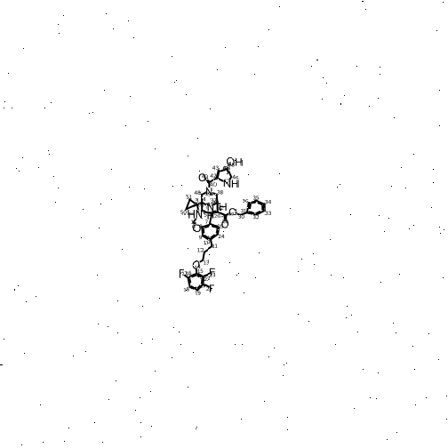 O=CNC1([C@@]23CC(c4ccc(CCCOc5c(F)ccc(F)c5F)cc4)=C(C(=O)OCc4ccccc4)[C@H](CN(C(=O)C4C[C@@H](O)CN4)C2)N3)CC1